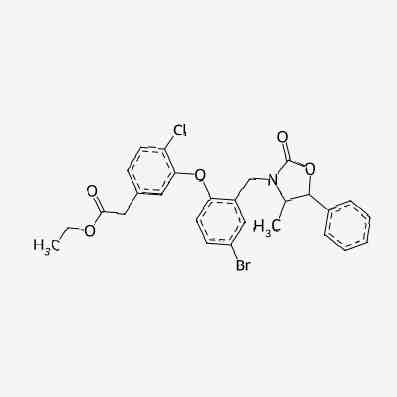 CCOC(=O)Cc1ccc(Cl)c(Oc2ccc(Br)cc2CN2C(=O)OC(c3ccccc3)C2C)c1